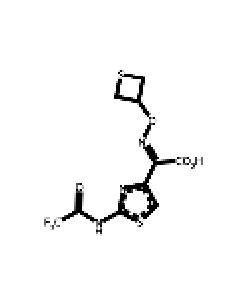 O=C(O)/C(=N\OC1CSC1)c1csc(NC(=O)C(F)(F)F)n1